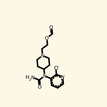 NC(=O)N(c1cccnc1Cl)C1CCN(CCOC=O)CC1